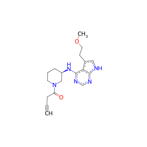 C#CCC(=O)N1CCC[C@@H](Nc2ncnc3[nH]cc(CCOC)c23)C1